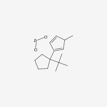 C[C]1C=CC(C2(C(C)(C)C)CCCC2)=C1.[Cl][Zr][Cl]